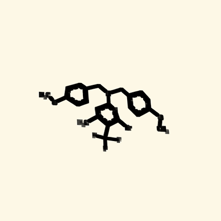 COc1ccc(CN(Cc2ccc(OC)cc2)c2cc(C)c(C(F)(F)F)c(Br)n2)cc1